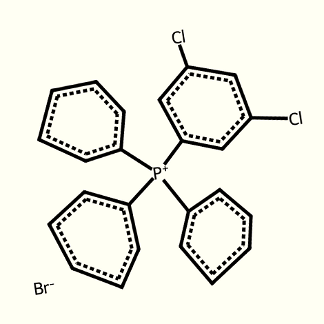 Clc1cc(Cl)cc([P+](c2ccccc2)(c2ccccc2)c2ccccc2)c1.[Br-]